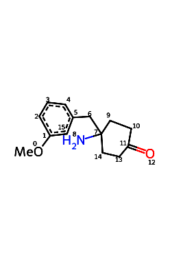 COc1cccc(CC2(N)CCC(=O)CC2)c1